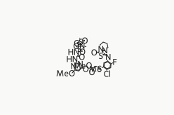 COC(=O)CSc1cc(/N=c2\sc(=O)n3n2CCCC3)c(F)cc1Cl.COc1cc(OC)nc(NC(=O)NS(=O)(=O)N(C)S(C)(=O)=O)n1